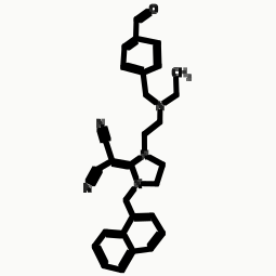 CCN(CCN1CCN(Cc2cccc3ccccc23)C1=C(C#N)C#N)Cc1ccc(C=O)cc1